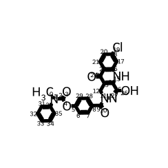 CN(C(=O)Oc1ccc(C(=O)N2Cc3c([nH]c4cc(Cl)ccc4c3=O)C(O)=N2)cc1)c1ccccc1